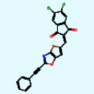 O=C1C(=Cc2cc3oc(C#Cc4ccccc4)nc3s2)C(=O)c2cc(Cl)c(Cl)cc21